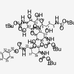 CC(C)(C)OC(=O)NCC[C@H](O)C(=O)N[C@@H]1C[C@@H](NC(=O)OC(C)(C)C)C(O[C@H]2OC(CNC(=O)OCc3ccccc3)CCC2NC(=O)OC(C)(C)C)C(O)[C@H]1O[C@H]1OC(CO)[C@@H](O)[C@H](NC(=O)OC(C)(C)C)C1O